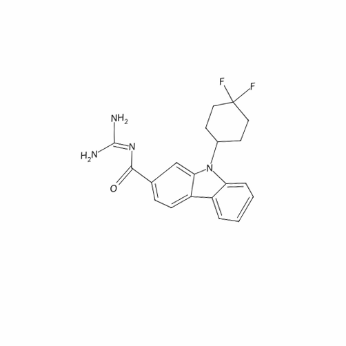 NC(N)=NC(=O)c1ccc2c3ccccc3n(C3CCC(F)(F)CC3)c2c1